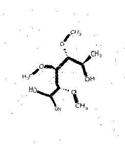 CO[C@@H]([C@H](OC)[C@@H](C)O)[C@H](OC)C(O)O